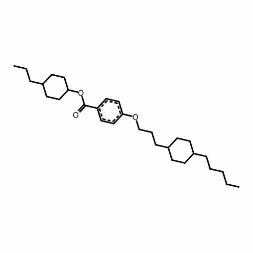 CCCCCC1CCC(CCCOc2ccc(C(=O)OC3CCC(CCC)CC3)cc2)CC1